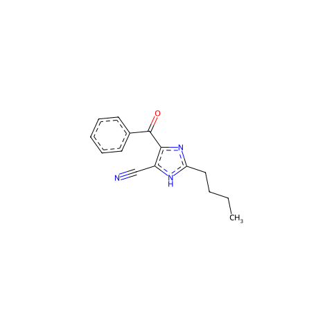 CCCCc1nc(C(=O)c2ccccc2)c(C#N)[nH]1